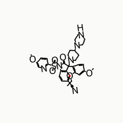 CCOc1cc(OC)ccc1C1(N2CCC(N3CCNCC3)CC2)C(=O)N(S(=O)(=O)c2ccc(OC)cn2)c2ccc(C#N)cc21